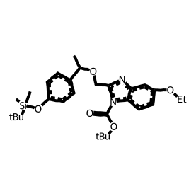 CCOc1ccc2c(c1)nc(COC(C)c1ccc(O[Si](C)(C)C(C)(C)C)cc1)n2C(=O)OC(C)(C)C